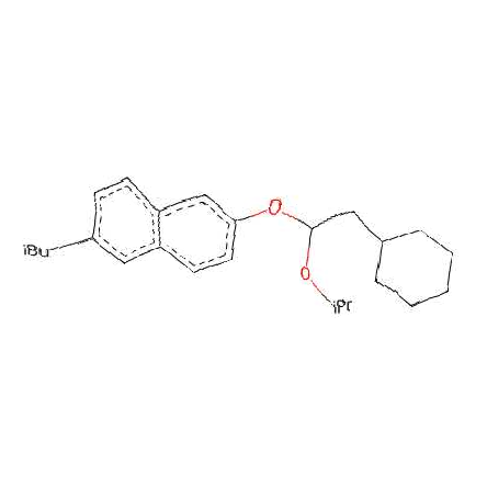 CCC(C)c1ccc2cc(OC(CC3CCCCC3)OC(C)C)ccc2c1